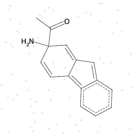 CC(=O)C1(N)C=CC2=c3ccccc3=CC2=C1